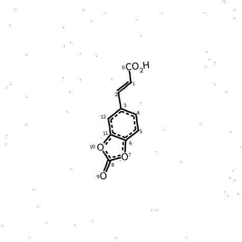 O=C(O)C=Cc1ccc2oc(=O)oc2c1